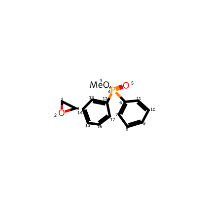 C1CO1.COP(=O)(c1ccccc1)c1ccccc1